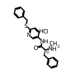 CN[C@@H](Cc1ccccc1)C(=O)Nc1ccc(SCc2ccccc2)nc1.Cl